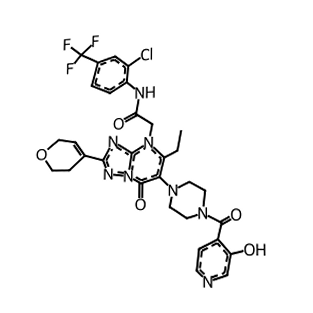 CCc1c(N2CCN(C(=O)c3ccncc3O)CC2)c(=O)n2nc(C3=CCOCC3)nc2n1CC(=O)Nc1ccc(C(F)(F)F)cc1Cl